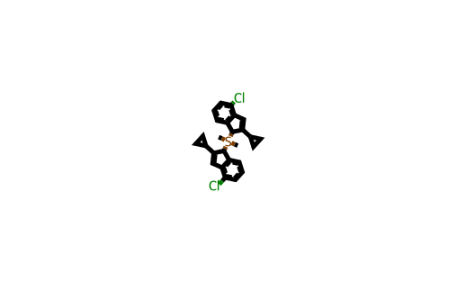 CS(C)(C1C(C2CC2)=Cc2c(Cl)cccc21)C1C(C2CC2)=Cc2c(Cl)cccc21